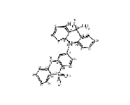 CC1(C)c2ccccc2N(c2ccc3c(c2)Sc2ccccc2S3(=O)=O)c2ccccc21